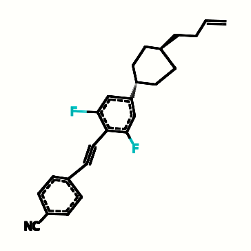 C=CCC[C@H]1CC[C@H](c2cc(F)c(C#Cc3ccc(C#N)cc3)c(F)c2)CC1